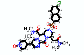 CN(C)C(=O)CC1CN(S(=O)(=O)c2ccc3cc(Cl)ccc3c2)CC(CC(=O)N(C)C)N1C(=O)c1ncc(-c2cc[n+]([O-])cc2)cn1